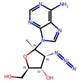 C[C@@]1(n2cnc3c(N)ncnc32)O[C@H](CO)[C@@H](O)[C@H]1N=[N+]=[N-]